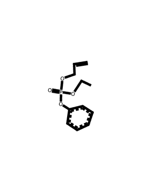 C=CCOP(=O)(OCC)Oc1ccccc1